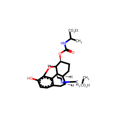 CC(=O)O.CCOC(=O)C(C)NC(=O)O[C@H]1CC[C@H]2[C@H]3Cc4ccc(O)c5c4[C@@]2(CCN3C)[C@H]1O5